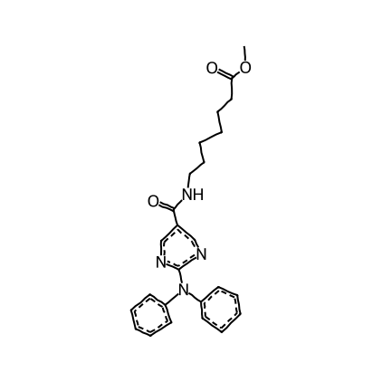 COC(=O)CCCCCCNC(=O)c1cnc(N(c2ccccc2)c2ccccc2)nc1